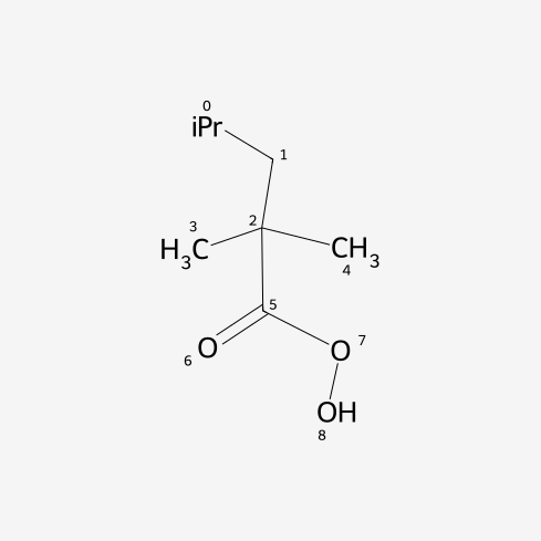 CC(C)CC(C)(C)C(=O)OO